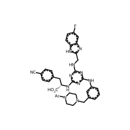 CC(=O)N1CCN(Cc2cccc(Nc3nc(NCc4nc5cc(F)ccc5[nH]4)nc(N[C@@H](Cc4ccc(C#N)cc4)C(=O)O)n3)c2)CC1